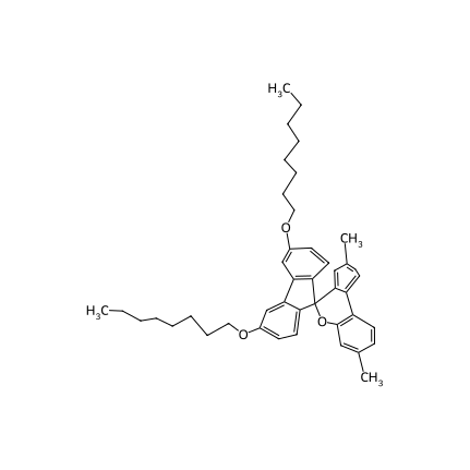 CCCCCCCCOc1ccc2c(c1)-c1cc(OCCCCCCCC)ccc1C21Oc2cc(C)ccc2-c2ccc(C)cc21